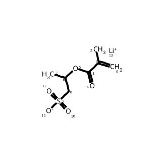 C=C(C)C(=O)OC(C)CS(=O)(=O)[O-].[Li+]